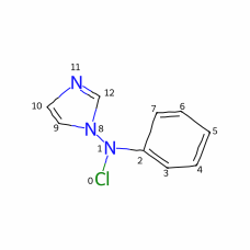 ClN(c1ccccc1)n1ccnc1